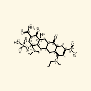 CCN(C)C1=C2CC3CC4[C@@H](CC3C(=O)C2CC([N+](=O)[O-])=C1)C(=O)C(C(N)=O)C[C@]4(OS(=O)(=O)O)N(C)C